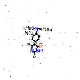 CCCCCCN(CCCCCC)c1ccc(-c2c(C)nc(C)[nH]c2=O)cc1C#N